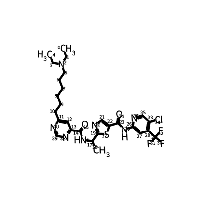 CCN(CC)CCCCCCc1cc(C(=O)NC(C)c2ncc(C(=O)Nc3cc(C(F)(F)F)c(Cl)cn3)s2)ncn1